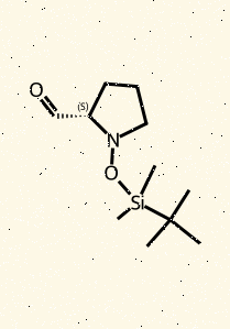 CC(C)(C)[Si](C)(C)ON1CCC[C@H]1C=O